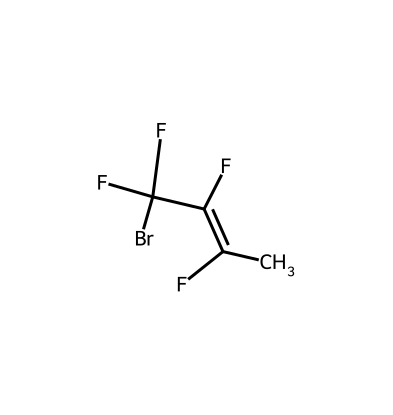 CC(F)=C(F)C(F)(F)Br